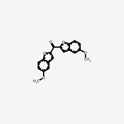 COc1ccc2oc(C(=O)c3cc4cc(OC)ccc4o3)cc2c1